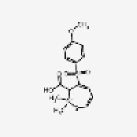 COc1ccc(S(=O)(=O)C2=CC=CS[N+](C)(C)C2C(=O)O)cc1